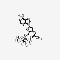 CC(=O)OC1CC(n2cnc3c(N)ncnc32)OC1CO[Si](C)(C)C(C)(C)C